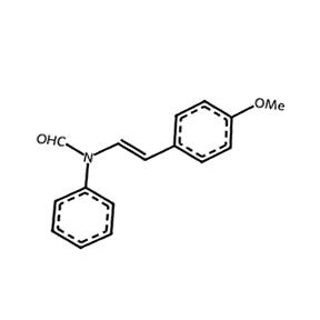 COc1ccc(C=CN(C=O)c2ccccc2)cc1